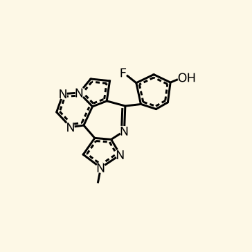 Cn1cc2c(n1)N=C(c1ccc(O)cc1F)c1ccn3ncnc-2c13